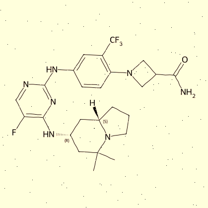 CC1(C)C[C@H](Nc2nc(Nc3ccc(N4CC(C(N)=O)C4)c(C(F)(F)F)c3)ncc2F)C[C@@H]2CCCN21